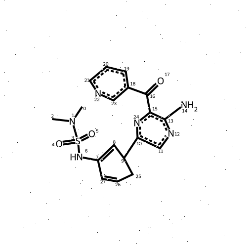 CN(C)S(=O)(=O)NC1=CC(c2cnc(N)c(C(=O)c3cccnc3)n2)CC=C1